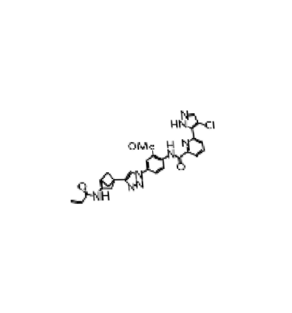 C=CC(=O)NC1CC2(c3cn(-c4ccc(NC(=O)c5cccc(-c6[nH]ncc6Cl)n5)c(OC)c4)nn3)CC1C2